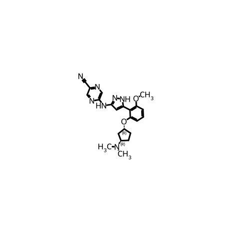 COc1cccc(O[C@@H]2CC[C@@H](N(C)C)C2)c1-c1cc(Nc2cnc(C#N)cn2)n[nH]1